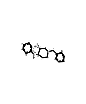 O[C@H]1CN(Cc2ccccc2)CC[C@@H]1Nc1ccccc1